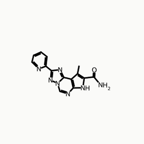 Cc1c(C(N)=O)[nH]c2ncn3nc(-c4ccccn4)nc3c12